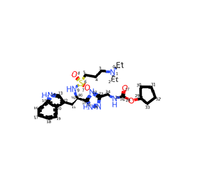 CCN(CC)CCCS(=O)(=O)N[C@H](Cc1c[nH]c2ccccc12)c1nc(CNC(=O)OC2CCCC2)n[nH]1